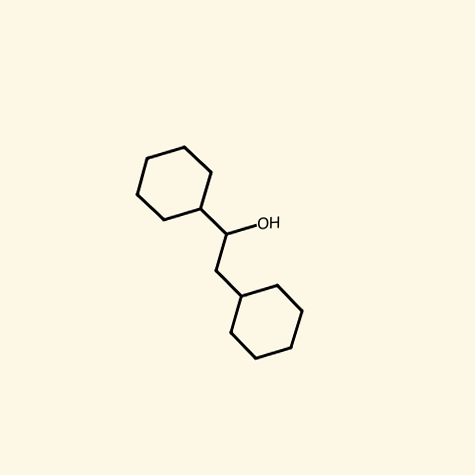 OC(C[C]1CCCCC1)C1CCCCC1